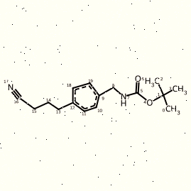 CC(C)(C)OC(=O)NCc1ccc(CCCC#N)cc1